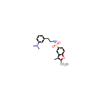 CCOC(=O)c1oc2ccc(S(=O)(=O)NCCc3cccc(N(C)C)c3)cc2c1C